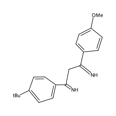 COc1ccc(C(=N)CC(=N)c2ccc(C(C)(C)C)cc2)cc1